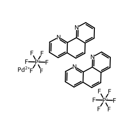 F[P-](F)(F)(F)(F)F.F[P-](F)(F)(F)(F)F.[Pd+2].c1cnc2c(c1)ccc1cccnc12.c1cnc2c(c1)ccc1cccnc12